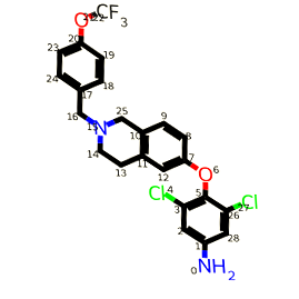 Nc1cc(Cl)c(Oc2ccc3c(c2)CCN(Cc2ccc(OC(F)(F)F)cc2)C3)c(Cl)c1